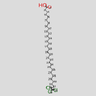 O=C(O)CCCCCCCCCCCCCCCCCCCCCCCCCCCCCC[Si](Cl)(Cl)Cl